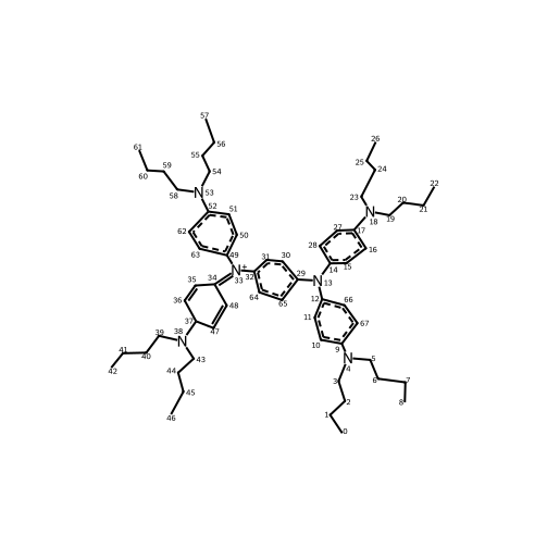 CCCCN(CCCC)c1ccc(N(c2ccc(N(CCCC)CCCC)cc2)c2ccc([N+](=C3C=CC(N(CCCC)CCCC)C=C3)c3ccc(N(CCCC)CCCC)cc3)cc2)cc1